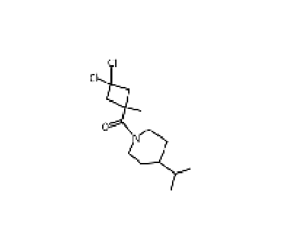 CC(C)C1CCN(C(=O)C2(C)CC(Cl)(Cl)C2)CC1